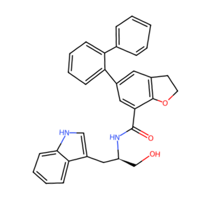 O=C(N[C@@H](CO)Cc1c[nH]c2ccccc12)c1cc(-c2ccccc2-c2ccccc2)cc2c1OCC2